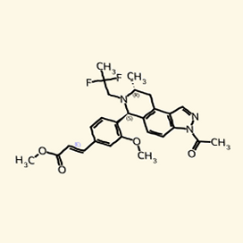 COC(=O)/C=C/c1ccc([C@@H]2c3ccc4c(cnn4C(C)=O)c3C[C@@H](C)N2CC(C)(F)F)c(OC)c1